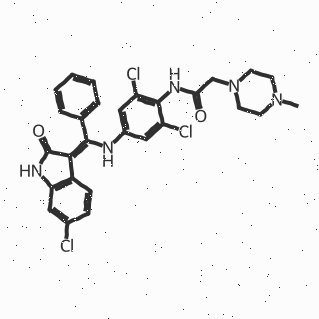 CN1CCN(CC(=O)Nc2c(Cl)cc(NC(=C3C(=O)Nc4cc(Cl)ccc43)c3ccccc3)cc2Cl)CC1